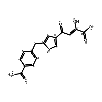 CC(=O)c1ccc(Cc2cc(C(=O)C=C(O)C(=O)O)cs2)cc1